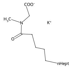 CCCCCCCCCCCC(=O)N(C)CC(=O)[O-].[K+]